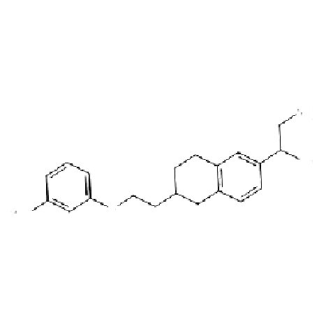 CCCC(CN)c1ccc2c(c1)CCC(CCOc1cccc(OC)c1)C2